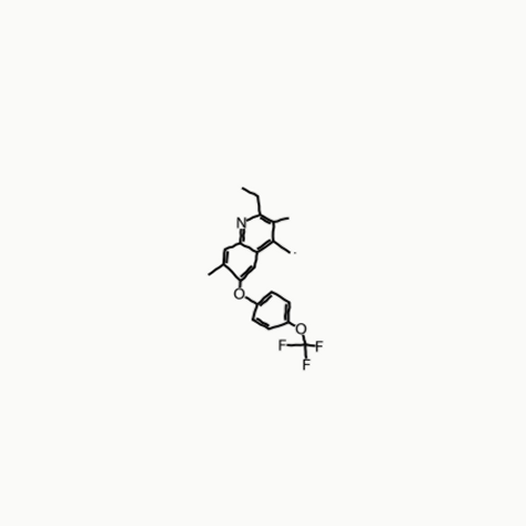 [CH2]c1c(C)c(CC)nc2cc(C)c(Oc3ccc(OC(F)(F)F)cc3)cc12